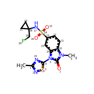 Cc1nsc(-n2c(=O)n(C)c3ccc(S(=O)(=O)NC4(CF)CC4)cc32)n1